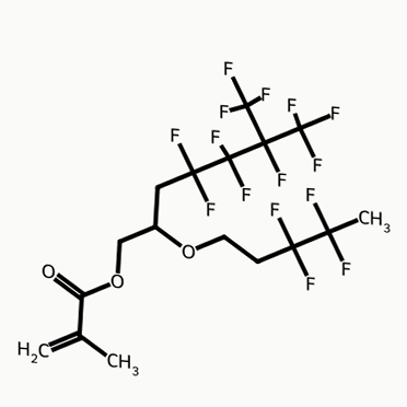 C=C(C)C(=O)OCC(CC(F)(F)C(F)(F)C(F)(C(F)(F)F)C(F)(F)F)OCCC(F)(F)C(C)(F)F